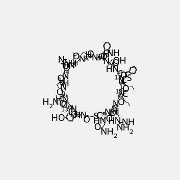 CCCC[C@H]1C(=O)N([13CH3])[C@@H](CCCC)C(=O)N[C@@H](CCCNC(=N)N)C(=O)N[C@H](C(=O)NCC(N)=O)CSCC(=O)N[C@@H](Cc2ccc(O)cc2)C(=O)N([13CH3])[C@@H](C)C(=O)N[C@@H](CC(N)=O)C(=O)N2CCC[C@H]2C(=O)N[C@@H](Cc2cnc[nH]2)C(=O)N[C@@H](CC(C)C)C(=O)N2CCC[C@H]2C(=O)N[C@@H](Cc2c[nH]c3ccccc23)C(=O)N[C@@H](CO)C(=O)N[C@@H](Cc2csc3ccccc23)C(=O)N1[13CH3]